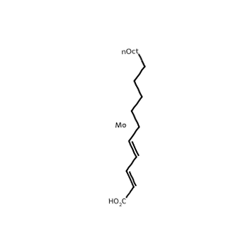 CCCCCCCCCCCCCC=CC=CC(=O)O.[Mo]